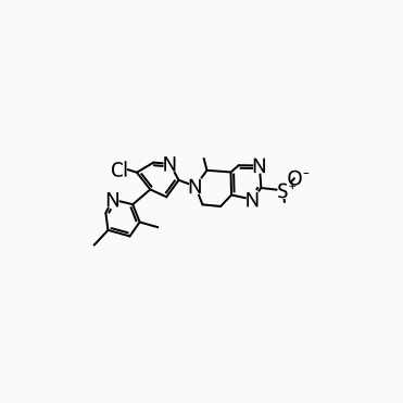 Cc1cnc(-c2cc(N3CCc4nc([S+](C)[O-])ncc4C3C)ncc2Cl)c(C)c1